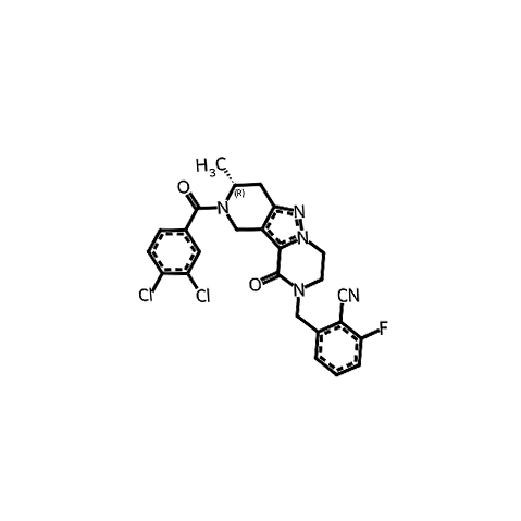 C[C@@H]1Cc2nn3c(c2CN1C(=O)c1ccc(Cl)c(Cl)c1)C(=O)N(Cc1cccc(F)c1C#N)CC3